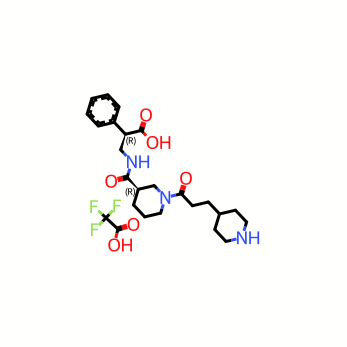 O=C(NC[C@H](C(=O)O)c1ccccc1)[C@@H]1CCCN(C(=O)CCC2CCNCC2)C1.O=C(O)C(F)(F)F